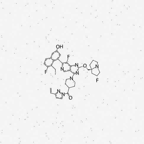 C=Cc1ccn(C(=O)C2CCN(c3nc(OC[C@@]45CCCN4C[C@H](F)C5)nc4c(F)c(-c5cc(O)cc6ccc(F)c(CC)c56)ncc34)CC2)n1